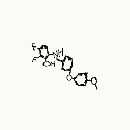 COc1ccc(Oc2cccc(CNc3ccc(F)c(F)c3O)c2)cc1